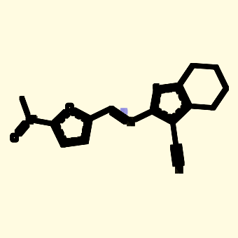 C[N+](=O)c1ccc(/C=N/c2sc3c(c2C#N)CCCC3)o1